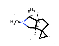 C[C@@H]1[C@H]2CCC3(CC3)[C@H]2CN1C